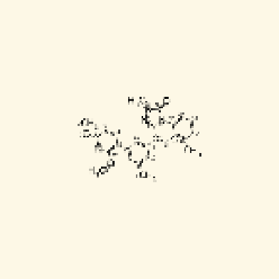 COc1ccc(-c2cc(C)cc(OCc3c(C)cccc3-n3nnn(C)c3=O)c2)c(OC)n1